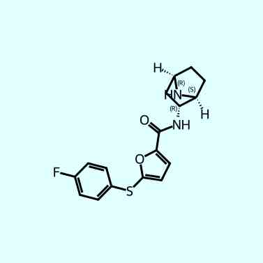 O=C(N[C@@H]1C[C@H]2CC[C@@H]1N2)c1ccc(Sc2ccc(F)cc2)o1